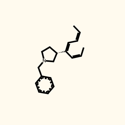 C\C=C/C=C(\C=C/C)[C@H]1CCN(Cc2ccccc2)C1